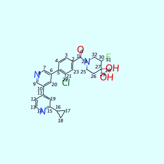 O=C(c1ccc(-c2cncc(-c3ccnc(C4CC4)c3)c2)c(Cl)c1)N1CCC(O)(O)C(F)C1